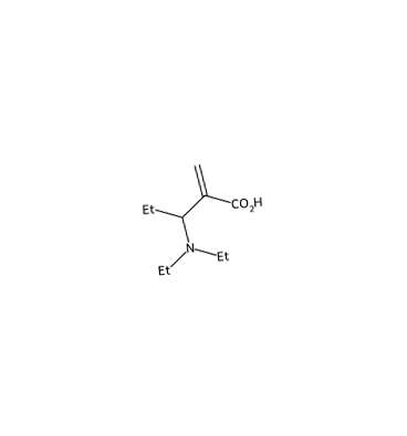 C=C(C(=O)O)C(CC)N(CC)CC